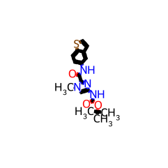 Cn1cc(NC(=O)OC(C)(C)C)nc1C(=O)Nc1ccc2sccc2c1